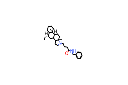 CC[C@H]1CC2C3CCN(CCCC(=O)NCc4ccccc4)C3(C)CC[C@@H]2[C@@]2(C)CCCC[C@@H]12